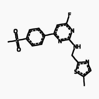 Cc1cnc(CNc2nc(F)cc(-c3ccc(S(C)(=O)=O)cc3)n2)s1